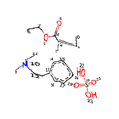 CC=C(C)C(=O)OCC.CN(C)Cc1ccccc1.O=S(=O)(O)O